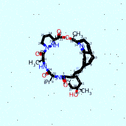 CC(C)[C@@H]1NC(=O)[C@]2(/C=C/c3ccc4ccc(nc4c3)[C@@H](C)OC(=O)[C@@H]3CCCN(N3)C(=O)[C@H](C)NC1=O)CC[C@](C)(O)CC2